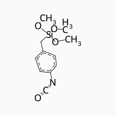 CO[Si](Cc1ccc(N=C=O)cc1)(OC)OC